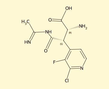 CC(=N)NC(=O)[C@@H](c1ccnc(Cl)c1F)[C@@H](N)C(=O)O